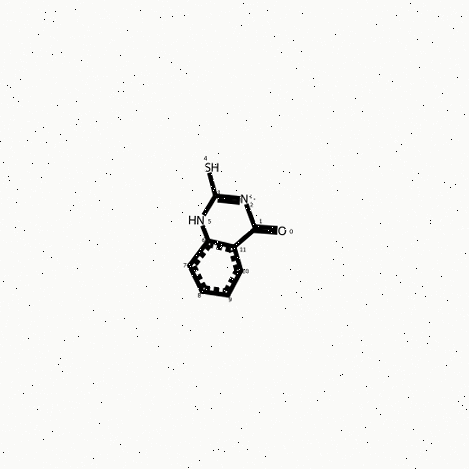 O=C1[N+]=C(S)Nc2ccccc21